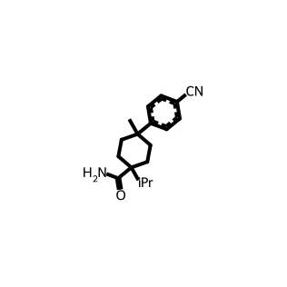 CC(C)C1(C(N)=O)CCC(C)(c2ccc(C#N)cc2)CC1